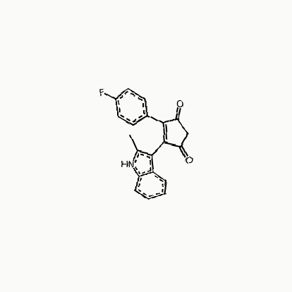 Cc1[nH]c2ccccc2c1C1=C(c2ccc(F)cc2)C(=O)CC1=O